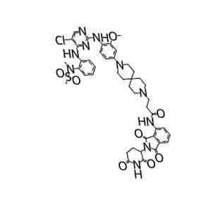 COc1cc(N2CCC3(CCN(CCC(=O)Nc4cccc5c4C(=O)N(C4CCC(=O)NC4=O)C5=O)CC3)CC2)ccc1Nc1ncc(Cl)c(Nc2ccccc2N(C)S(C)(=O)=O)n1